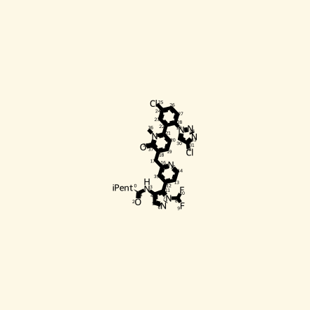 CCC[C@@H](C)C(=O)Nc1cnn(C(F)F)c1-c1ccnc(Cc2ccc(-c3cc(Cl)ccc3-n3cc(Cl)nn3)n(C)c2=O)c1